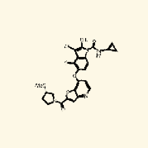 CO[C@H]1CCN(C(=O)c2cc3nccc(Oc4ccc5c(c4F)c(Cl)c(C)n5C(=O)NC4CC4)c3s2)C1